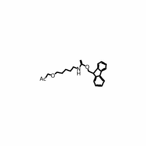 C=C(NCCCCCOCC(C)=O)OCC1c2ccccc2-c2ccccc21